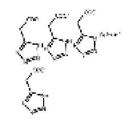 O=C([O-])Cc1nnn[nH]1.O=C([O-])Cc1nnn[nH]1.O=C([O-])Cc1nnn[nH]1.O=C([O-])Cc1nnn[nH]1.[Fe+2].[Zn+2]